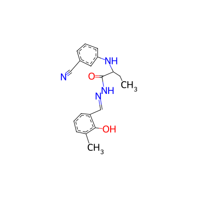 CCC(Nc1cccc(C#N)c1)C(=O)NN=Cc1cccc(C)c1O